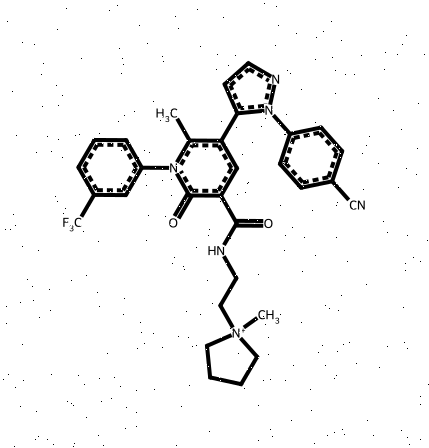 Cc1c(-c2ccnn2-c2ccc(C#N)cc2)cc(C(=O)NCC[N+]2(C)CCCC2)c(=O)n1-c1cccc(C(F)(F)F)c1